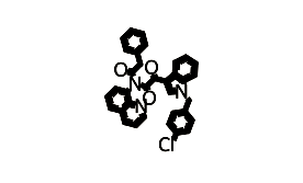 O=C(C(=O)N(C(=O)Cc1ccccc1)c1cccc2cccnc12)c1cn(Cc2ccc(Cl)cc2)c2ccccc12